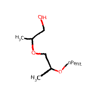 CCCCCOC(C)COC(C)CO